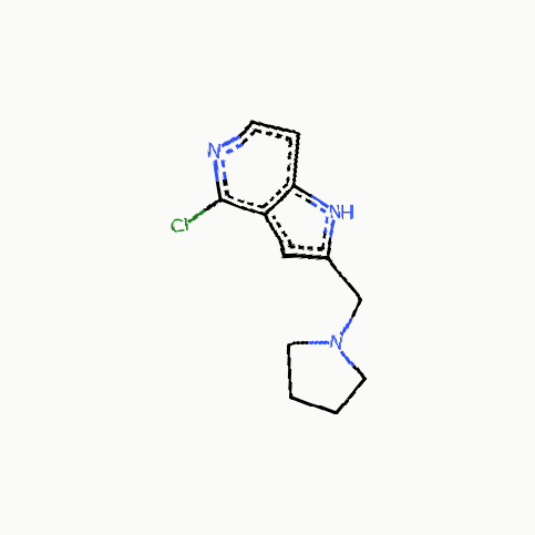 Clc1nccc2[nH]c(CN3CCCC3)cc12